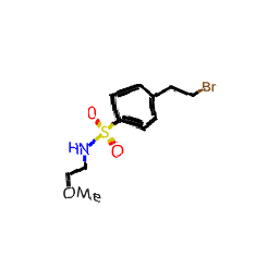 COCCNS(=O)(=O)c1ccc(CCBr)cc1